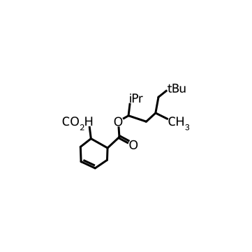 CC(CC(OC(=O)C1CC=CCC1C(=O)O)C(C)C)CC(C)(C)C